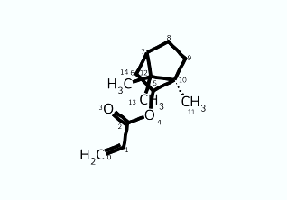 C=CC(=O)OC1CC2CC[C@]1(C)C2(C)C